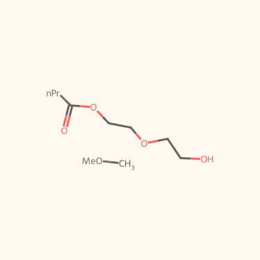 CCCC(=O)OCCOCCO.COC